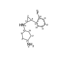 NC1CCC(NC2CC2c2ccccc2F)CC1